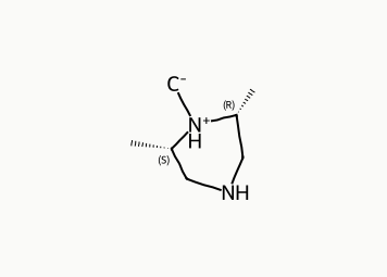 [CH2-][NH+]1[C@H](C)CNC[C@@H]1C